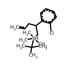 C=CCC(C[SH](C)(C)(C)C(C)(C)C)c1ccccc1Cl